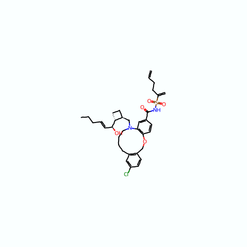 C=CCCC(=C)S(=O)(=O)NC(=O)c1ccc2c(c1)N(C[C@@H]1CC[C@H]1[C@@H](O)/C=C/CCC)CCCCc1cc(Cl)ccc1CO2